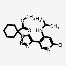 COC(=O)C1(n2cc(-c3cnc(Cl)cc3NC(C)C)nn2)CCCCC1